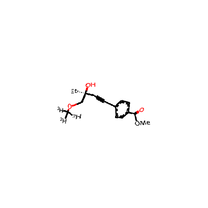 [2H]C([2H])([2H])OC[C@@](O)(C#Cc1ccc(C(=O)OC)cc1)CC